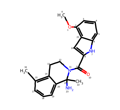 COc1cccc2[nH]c(C(=O)N3CCc4c(C)cccc4C3(C)N)cc12